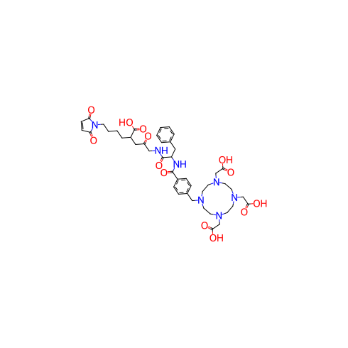 O=C(O)CN1CCN(CC(=O)O)CCN(Cc2ccc(C(=O)NC(Cc3ccccc3)C(=O)NCC(=O)CC(CCCCN3C(=O)C=CC3=O)C(=O)O)cc2)CCN(CC(=O)O)CC1